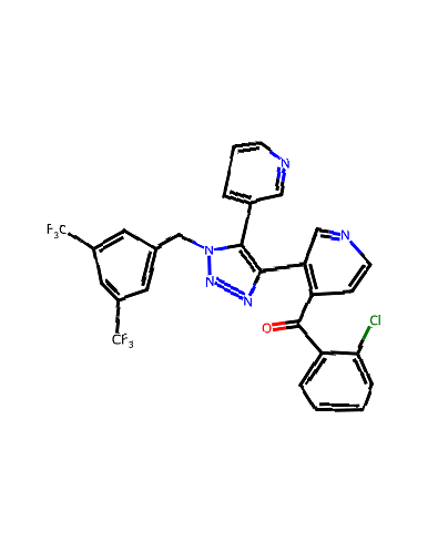 O=C(c1ccccc1Cl)c1ccncc1-c1nnn(Cc2cc(C(F)(F)F)cc(C(F)(F)F)c2)c1-c1cccnc1